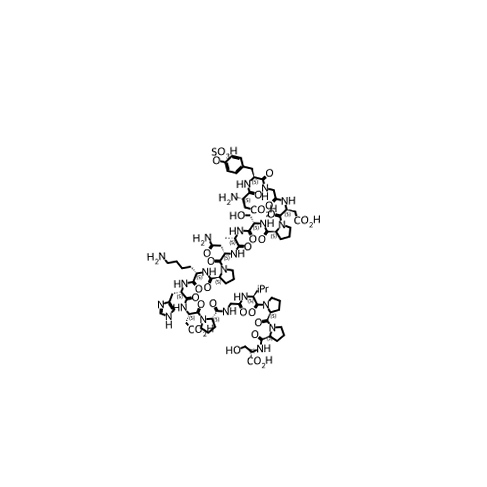 CC(C)[C@H](NC(=O)CNC(=O)[C@@H]1CCCN1C(=O)[C@H](CC(=O)O)NC(=O)[C@H](Cc1c[nH]cn1)NC(=O)[C@H](CCCCN)NC(=O)[C@@H]1CCCN1C(=O)[C@H](CC(N)=O)NC(=O)[C@H](C)NC(=O)[C@H](CO)NC(=O)[C@@H]1CCCN1C(=O)[C@H](CC(=O)O)NC(=O)CNC(=O)[C@H](Cc1ccc(OS(=O)(=O)O)cc1)NC(=O)[C@@H](N)CC(=O)O)C(=O)N1CCC[C@H]1C(=O)N1CCC[C@H]1C(=O)N[C@@H](CO)C(=O)O